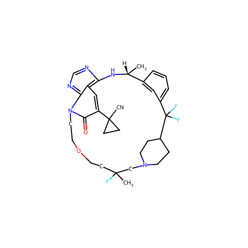 C[C@H]1Nc2ncnc3c2cc(C2(C#N)CC2)c(=O)n3CCOCCC(C)(F)CN2CCC(CC2)C(F)(F)c2cccc1c2